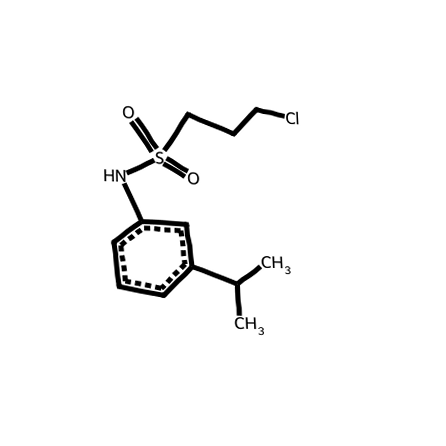 CC(C)c1cccc(NS(=O)(=O)CCCCl)c1